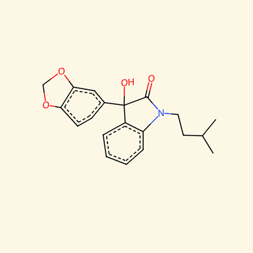 CC(C)CCN1C(=O)C(O)(c2ccc3c(c2)OCO3)c2ccccc21